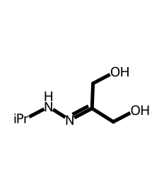 CC(C)NN=C(CO)CO